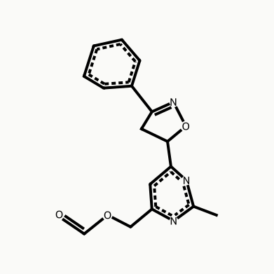 Cc1nc(COC=O)cc(C2CC(c3ccccc3)=NO2)n1